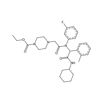 CCOC(=O)N1CCN(CC(=O)N(c2cccc(F)c2)C(C(=O)NC2CCCCC2)c2ccccc2C)CC1